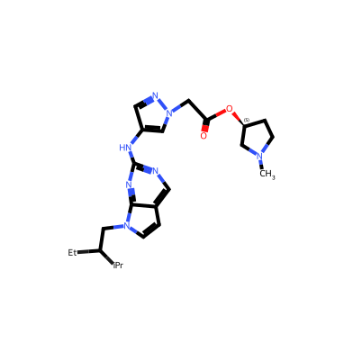 CCC(Cn1ccc2cnc(Nc3cnn(CC(=O)O[C@H]4CCN(C)C4)c3)nc21)C(C)C